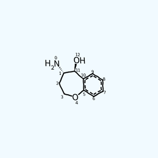 N[C@H]1CCOc2ccccc2[C@@H]1O